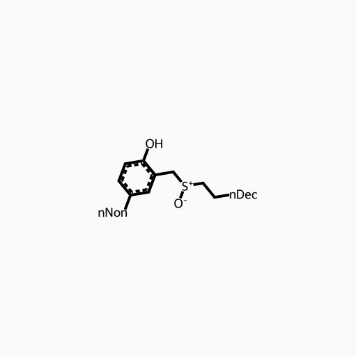 CCCCCCCCCCCC[S+]([O-])Cc1cc(CCCCCCCCC)ccc1O